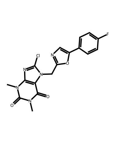 Cn1c(=O)c2c(nc(Cl)n2Cc2ncc(-c3ccc(F)cc3)o2)n(C)c1=O